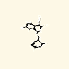 N#Cc1ccccc1CSc1nc(O)c(Cl)c2ccc(Cl)cc12